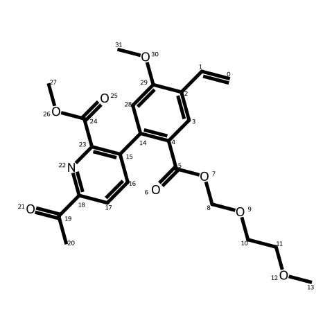 C=Cc1cc(C(=O)OCOCCOC)c(-c2ccc(C(C)=O)nc2C(=O)OC)cc1OC